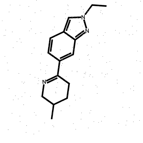 CCn1cc2ccc(C3=NCC(C)CC3)cc2n1